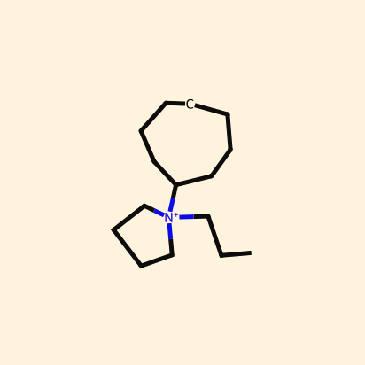 CCC[N+]1(C2CCCCCCC2)CCCC1